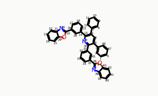 c1ccc(-c2cc(-c3ccccc3)c(-c3cccc(-c4nc5ccccc5o4)c3)nc2-c2cccc(-c3nc4ccccc4o3)c2)cc1